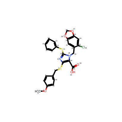 COc1ccc(CSc2nc(Sc3ccccc3)n(Cc3cc4c(cc3Cl)OCO4)c2C(=O)O)cc1